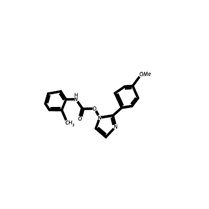 COc1ccc(-c2nccn2OC(=O)Nc2ccccc2C)cc1